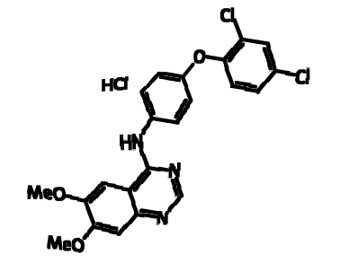 COc1cc2ncnc(Nc3ccc(Oc4ccc(Cl)cc4Cl)cc3)c2cc1OC.Cl